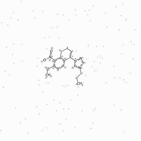 CCCn1cnc(C2=CCCc3c2ccc(OC)c3[N+](=O)[O-])c1